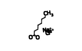 CCCCCCCC(=O)[O-].[Cl-].[Na+].[Na+]